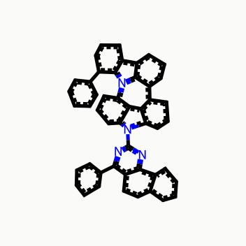 c1ccc(-c2nc(-n3c4cccc5c6cccc7c8cccc(-c9ccccc9)c8n(c8cccc3c8c54)c67)nc3c2ccc2ccccc23)cc1